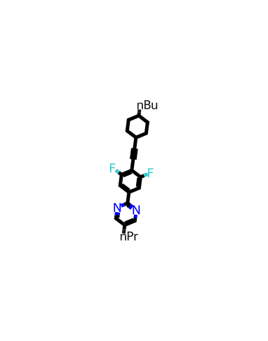 CCCCC1CCC(C#Cc2c(F)cc(-c3ncc(CCC)cn3)cc2F)CC1